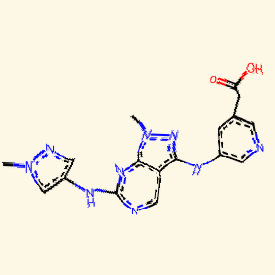 Cn1cc(Nc2ncc3c(Nc4cncc(C(=O)O)c4)nn(C)c3n2)cn1